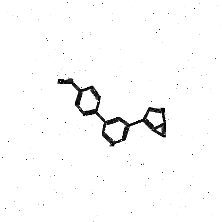 COc1ccc(-c2cncc(-c3cnc4cc3-4)c2)cc1